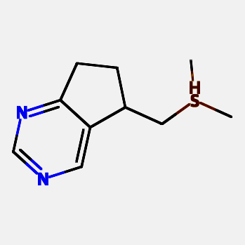 C[SH](C)CC1CCc2ncncc21